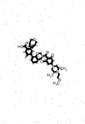 COCCN1[C@H](C)CN(c2cc(Cl)c(C(=O)N3COc4c(cccc4-c4cc(N5C6CCC5COC6)c(C(=O)O)cc4F)C3)c(Cl)c2)C[C@@H]1C